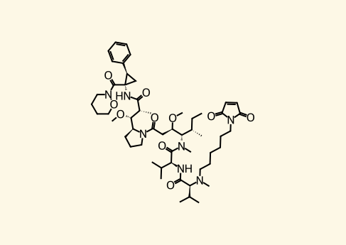 CC[C@H](C)[C@@H]([C@@H](CC(=O)N1CCC[C@H]1[C@H](OC)[C@@H](C)C(=O)N[C@@]1(C(=O)N2CCCCO2)C[C@@H]1c1ccccc1)OC)N(C)C(=O)[C@@H](NC(=O)[C@H](C(C)C)N(C)CCCCCCN1C(=O)C=CC1=O)C(C)C